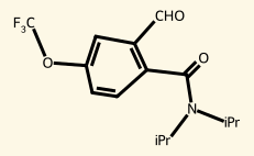 CC(C)N(C(=O)c1ccc(OC(F)(F)F)cc1C=O)C(C)C